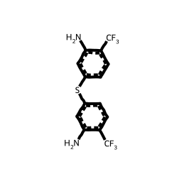 Nc1cc(Sc2ccc(C(F)(F)F)c(N)c2)ccc1C(F)(F)F